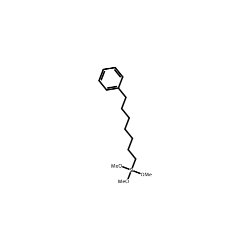 CO[Si](CCCCCCCc1ccccc1)(OC)OC